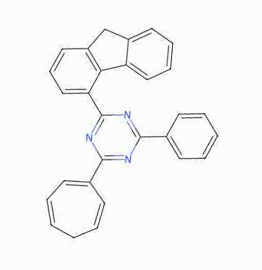 C1=CCC=CC(c2nc(-c3ccccc3)nc(-c3cccc4c3-c3ccccc3C4)n2)=C1